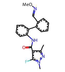 CO/N=C/c1ccccc1-c1ccccc1NC(=O)c1c(C)nn(C)c1F